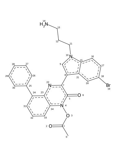 CC(=O)On1c(=O)c(-c2cn(CCCN)c3ccc(Br)cc23)nc2c(-c3ccccc3)cccc21